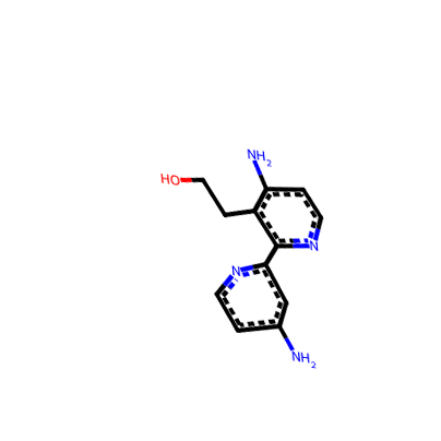 Nc1ccnc(-c2nccc(N)c2CCO)c1